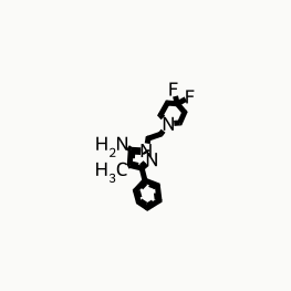 Cc1c(-c2ccccc2)nn(CCN2CCC(F)(F)CC2)c1N